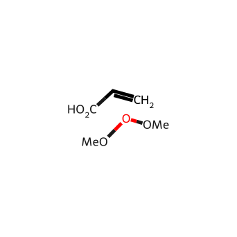 C=CC(=O)O.COOOC